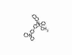 CC1c2ccccc2-c2c1c1cc(-c3ccc(N(C4=CC=CCC4)c4ccccc4)cc3)ccc1n2-c1ccc2ccccc2c1